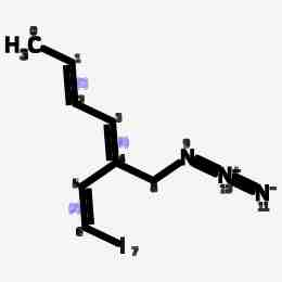 C/C=C/C=C(\C=C/I)CN=[N+]=[N-]